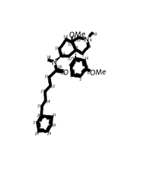 COc1cccc([C@@]23CCN(C)C[C@@]2(OC)CC[C@H](N(C)C(=O)CCCCCc2ccccc2)C3)c1